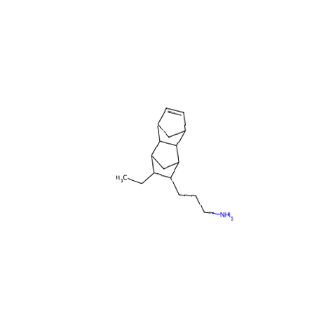 CCC1C(CCCN)C2CC1C1C3C=CC(C3)C21